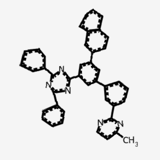 Cc1ccnc(-c2cccc(-c3cc(-c4ccc5ccccc5c4)cc(-c4nc(-c5ccccc5)nc(-c5ccccc5)n4)c3)c2)n1